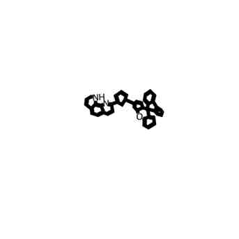 C1=CC(C2=CC3Oc4ccccc4C4(c5ccccc5-c5ccccc54)C3C=C2)CC(c2ccc3ccc4c(c3n2)NCC=C4)=C1